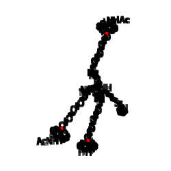 CC(=O)N[C@H]1[C@H]2OC[C@](COCCOCCOCCOCCn3cc(COCC(COCc4cn(CCOCCOCCOCCOC[C@@]56CO[C@@H](O5)[C@H](NC(C)=O)[C@H]5OC(C)(C)O[C@H]56)nn4)(COCc4cn(CCOCCOCCOCCOC[C@]56CO[C@H](C[C@H]7OC(C)(C)O[C@H]75)O6)nn4)NC(=O)CCCCCSSc4ccccn4)nn3)(O2)[C@@H]2OC(C)(C)O[C@H]12